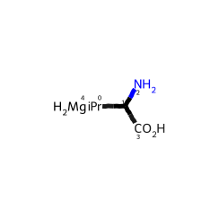 CC(C)C(N)C(=O)O.[MgH2]